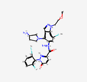 COCCn1ncc2c(N3CC[C@@H](N)C3)c(NC(=O)c3ccc(=O)n(-c4c(F)cccc4F)n3)cc(F)c21